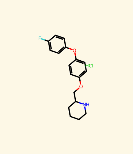 Cl.Fc1ccc(Oc2ccc(OCC3CCCCN3)cc2)cc1